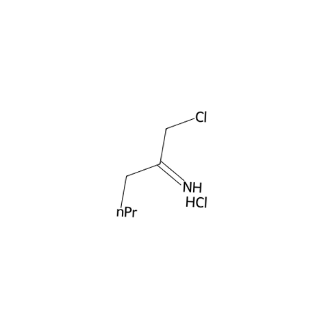 CCCCC(=N)CCl.Cl